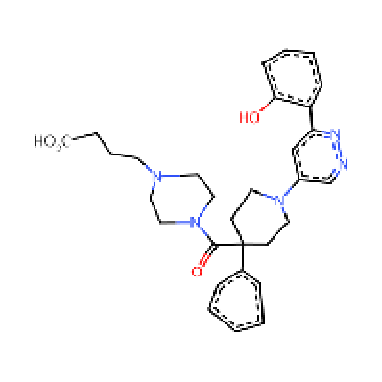 O=C(O)CCCN1CCN(C(=O)C2(c3ccccc3)CCN(c3cnnc(-c4ccccc4O)c3)CC2)CC1